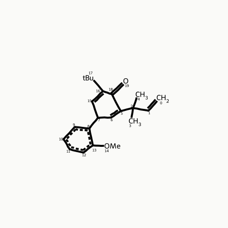 C=CC(C)(C)C1=CC(c2ccccc2OC)C=C(C(C)(C)C)C1=O